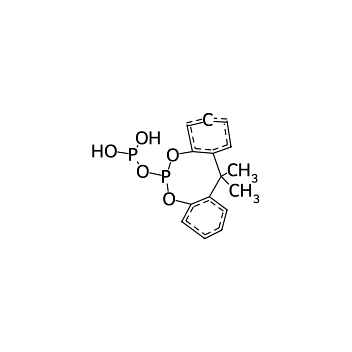 CC1(C)c2ccccc2OP(OP(O)O)Oc2ccccc21